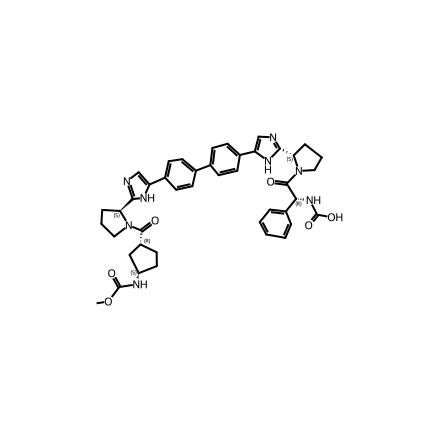 COC(=O)N[C@H]1CC[C@@H](C(=O)N2CCC[C@H]2c2ncc(-c3ccc(-c4ccc(-c5cnc([C@@H]6CCCN6C(=O)[C@H](NC(=O)O)c6ccccc6)[nH]5)cc4)cc3)[nH]2)C1